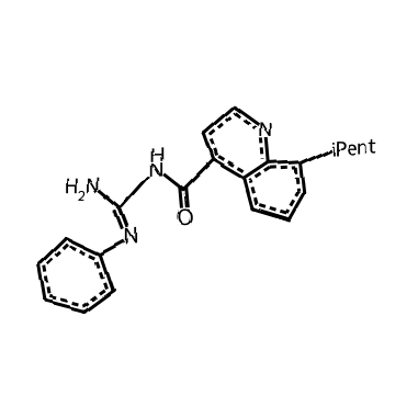 CCCC(C)c1cccc2c(C(=O)NC(N)=Nc3ccccc3)ccnc12